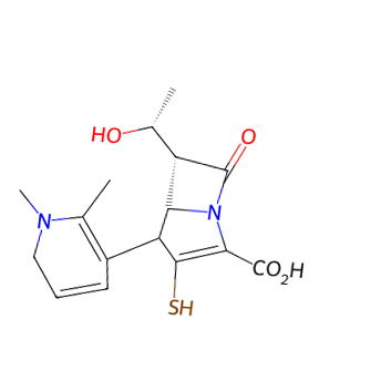 CC1=C(C2C(S)=C(C(=O)O)N3C(=O)[C@@H]([C@@H](C)O)C23)C=CCN1C